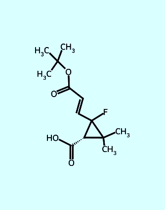 CC(C)(C)OC(=O)/C=C/C1(F)[C@@H](C(=O)O)C1(C)C